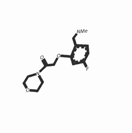 CNCc1ccc(F)cc1OCC(=O)N1CCOCC1